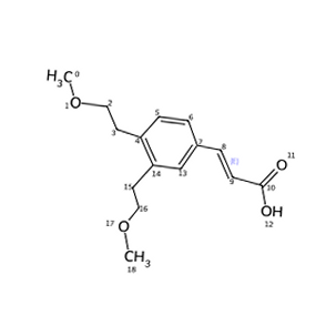 COCCc1ccc(/C=C/C(=O)O)cc1CCOC